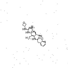 CC/C=C(C#N)\C(NC(=O)Cc1cccnc1Cl)=C(\C)[C@@H](C)NC(=N)NC1COC1